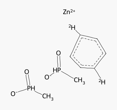 C[PH](=O)[O-].C[PH](=O)[O-].[2H]c1ccc([2H])cc1.[Zn+2]